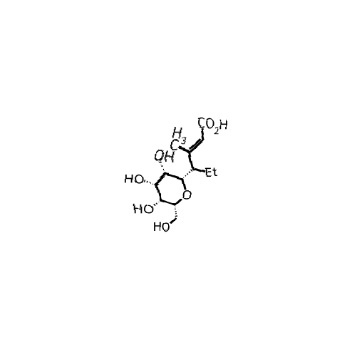 CCC(/C(C)=C/C(=O)O)[C@@H]1O[C@H](CO)[C@H](O)[C@H](O)[C@@H]1O